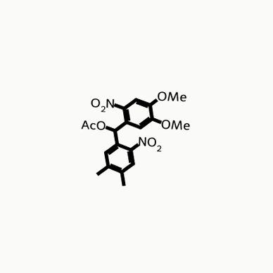 COc1cc(C(OC(C)=O)c2cc(C)c(C)cc2[N+](=O)[O-])c([N+](=O)[O-])cc1OC